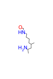 CC(N)CC(C)CCCCNC=O